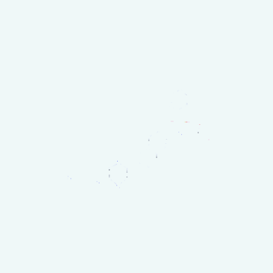 CN(C)CCNc1cnc(-c2ccc3cc(N(CC(=O)O)S(=O)(=O)c4cc(Cl)cc(Cl)c4)ccc3c2)cn1